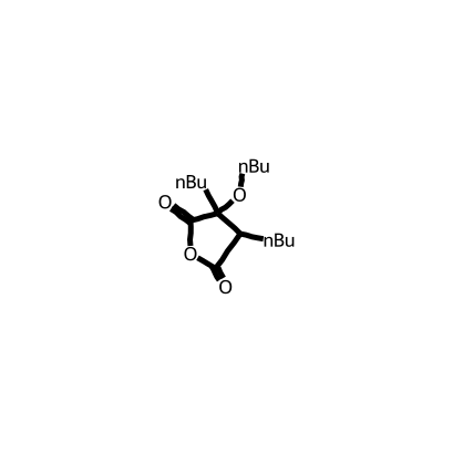 CCCCOC1(CCCC)C(=O)OC(=O)C1CCCC